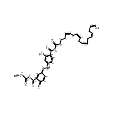 CC/C=C\C/C=C\C/C=C\C/C=C\C/C=C\CCCC(=O)OC(=O)c1ccc(N/N=C2\C=CC(=O)C(C(=O)OC(=O)CCCCCCC)=C2)cc1O